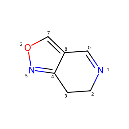 C1=NCCc2nocc21